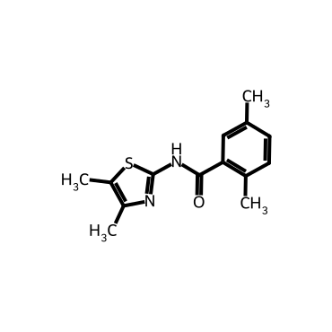 Cc1ccc(C)c(C(=O)Nc2nc(C)c(C)s2)c1